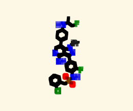 CC(CF)NC1CC=C(c2cnc(N)c3c(-c4ccc(NS(=O)(=O)Cc5ccccc5Cl)c(F)c4)nn(C(C)C)c23)CC1